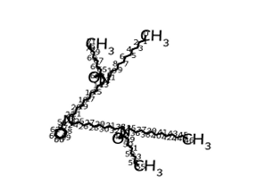 CCCCCCCCCCCCN(CCCCCCCCCCN(CCCCCCCCCCN(CCCCCCCCCCCC)C(=O)CCCCCCC)Cc1ccccc1)C(=O)CCCCCCC